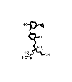 N[C@@](CCCO)(CCc1ccc(Sc2cc(C3CC3)ccc2O)cc1Cl)COP(=O)(O)O